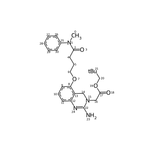 CN(C(=O)CCCOc1cccc2c1CN(CC(=O)OCC(C)(C)C)C(N)=N2)c1ccccc1